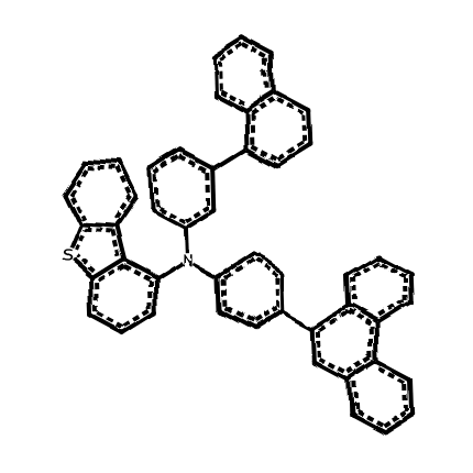 c1cc(-c2cccc3ccccc23)cc(N(c2ccc(-c3cc4ccccc4c4ccccc34)cc2)c2cccc3sc4ccccc4c23)c1